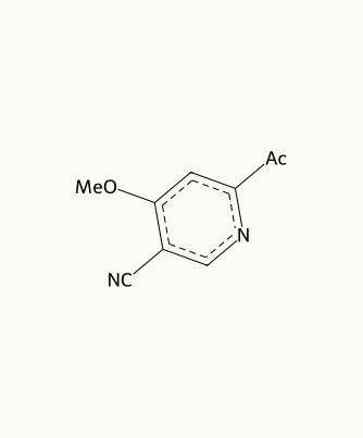 COc1cc(C(C)=O)ncc1C#N